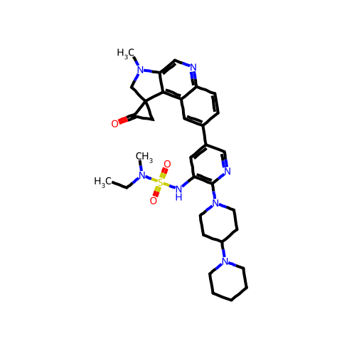 CCN(C)S(=O)(=O)Nc1cc(-c2ccc3ncc4c(c3c2)C2(CC2=O)CN4C)cnc1N1CCC(N2CCCCC2)CC1